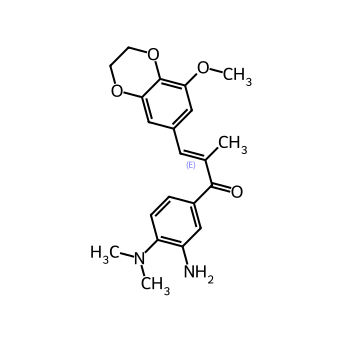 COc1cc(/C=C(\C)C(=O)c2ccc(N(C)C)c(N)c2)cc2c1OCCO2